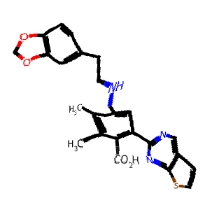 Cc1c(NCCc2ccc3c(c2)OCO3)cc(-c2ncc3ccsc3n2)c(C(=O)O)c1C